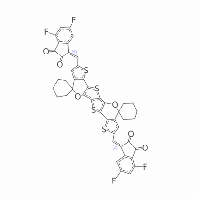 O=C1C(=O)c2c(F)cc(F)cc2/C1=C/c1cc2c(s1)-c1sc3c4c(sc3c1OC21CCCCC1)-c1sc(/C=C2\C(=O)C(=O)c3c(F)cc(F)cc32)cc1C1(CCCCC1)O4